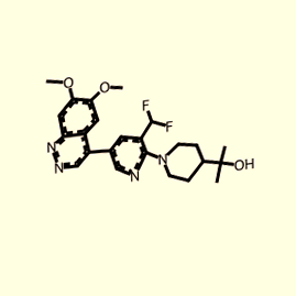 COc1cc2nncc(-c3cnc(N4CCC(C(C)(C)O)CC4)c(C(F)F)c3)c2cc1OC